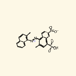 Cc1ccc2ccccc2c1/N=N/c1c(C)cc(S(=O)(=O)O)c2cc([N+](=O)[O-])ccc12